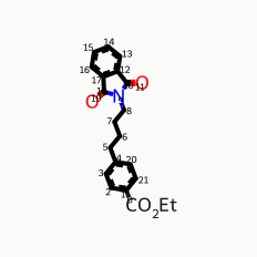 CCOC(=O)c1ccc(CCCCN2C(=O)c3ccccc3C2=O)cc1